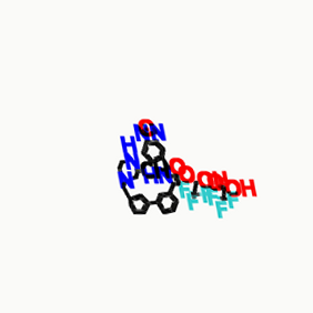 CC1CN(Cc2cccc(-c3cccc(CNC(=O)c4ccc5nonc5c4)c3)c2)CCN1.O=C(O)C(F)(F)F.O=C(O)C(F)(F)F